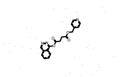 O=C(CCC(=O)Oc1nncc2ccccc12)OCc1ccncc1